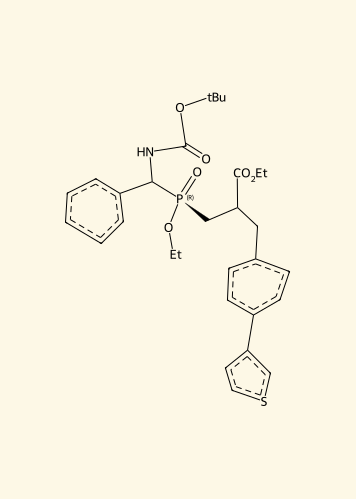 CCOC(=O)C(Cc1ccc(-c2ccsc2)cc1)C[P@@](=O)(OCC)C(NC(=O)OC(C)(C)C)c1ccccc1